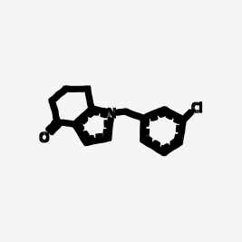 O=C1CCCc2c1ccn2Cc1cccc(Cl)c1